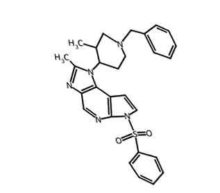 Cc1nc2cnc3c(ccn3S(=O)(=O)c3ccccc3)c2n1C1CCN(Cc2ccccc2)CC1C